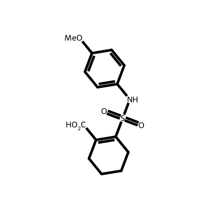 COc1ccc(NS(=O)(=O)C2=C(C(=O)O)CCCC2)cc1